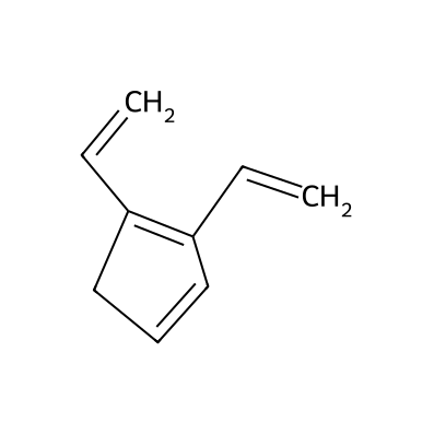 C=CC1=C(C=C)CC=C1